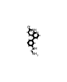 NSNc1cccc(-c2ccnc3c2CCC(=O)N3)c1